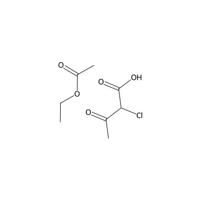 CC(=O)C(Cl)C(=O)O.CCOC(C)=O